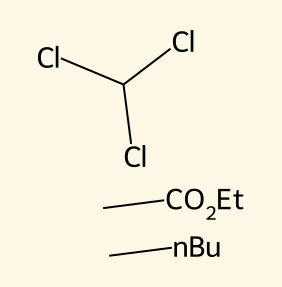 CCCCC.CCOC(C)=O.ClC(Cl)Cl